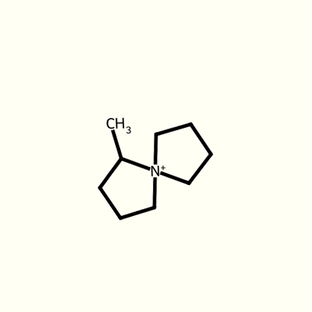 CC1CCC[N+]12CCCC2